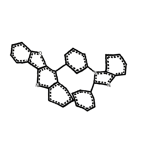 c1ccc(-c2nc3ccccc3n2-c2cccc(-c3c4ccccc4nc4c3oc3ccccc34)c2)cc1